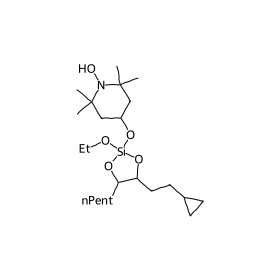 CCCCCC1O[Si](OCC)(OC2CC(C)(C)N(O)C(C)(C)C2)OC1CCC1CC1